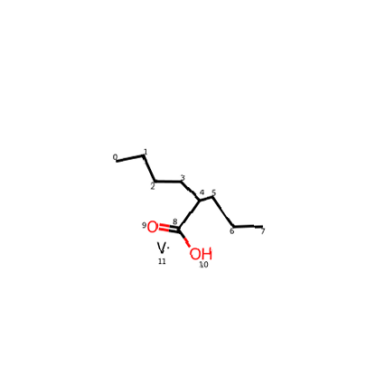 CCCCC(CCC)C(=O)O.[V]